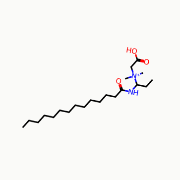 CCCCCCCCCCCCCC(=O)NC(CC)[N+](C)(C)CC(=O)O